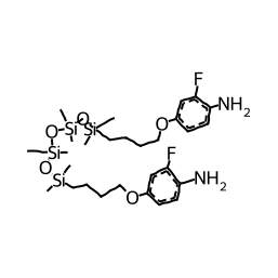 C[Si](C)(CCCCOc1ccc(N)c(F)c1)O[Si](C)(C)O[Si](C)(C)O[Si](C)(C)CCCCOc1ccc(N)c(F)c1